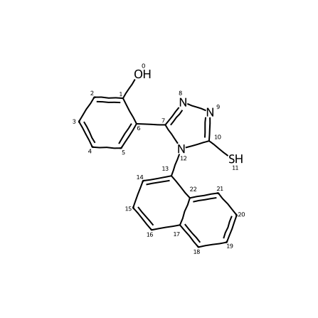 Oc1ccccc1-c1nnc(S)n1-c1cccc2ccccc12